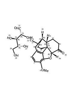 COc1ccc2c3c1O[C@H]1C(=O)CC[C@H]4[C@@H](C2)N(C)CC[C@]314.O=C[C@H](O)[C@H](O)[C@H](O)CO